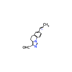 C/C=C/c1ccc2c(c1)CCc1c(C=O)ncn1-2